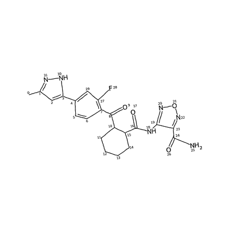 Cc1cc(-c2ccc(C(=O)C3CCCCC3C(=O)Nc3nonc3C(N)=O)c(F)c2)[nH]n1